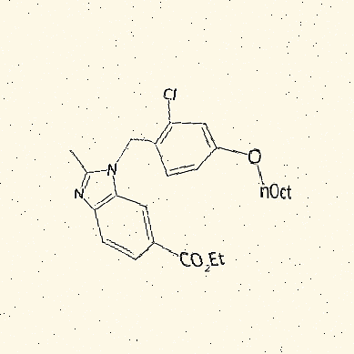 CCCCCCCCOc1ccc(Cn2c(C)nc3ccc(C(=O)OCC)cc32)c(Cl)c1